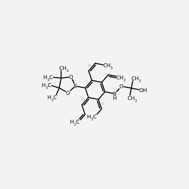 C=C/C=c1/c(B2OC(C)(C)C(C)(C)O2)c(/C=C\C)c(C=C)c(BOC(C)(C)O)/c1=C/C